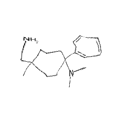 CN(C)C1(c2ccccc2)CCC(C)(CN)CC1